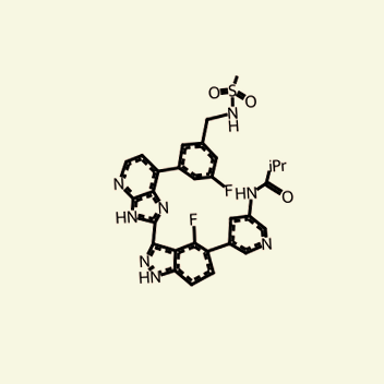 CC(C)C(=O)Nc1cncc(-c2ccc3[nH]nc(-c4nc5c(-c6cc(F)cc(CNS(C)(=O)=O)c6)ccnc5[nH]4)c3c2F)c1